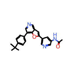 CC(=O)Nc1cncc(-c2cc3cncc(-c4ccc(C(C)(C)C)cc4)c3o2)c1